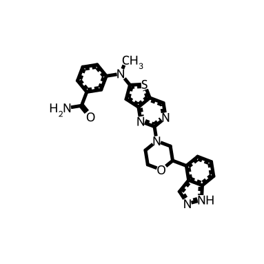 CN(c1cccc(C(N)=O)c1)c1cc2nc(N3CCOC(c4cccc5[nH]ncc45)C3)ncc2s1